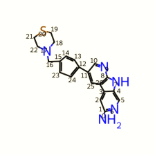 Nc1cc2c(cn1)[nH]c1ncc(-c3ccc(CN4CCSCC4)cc3)cc12